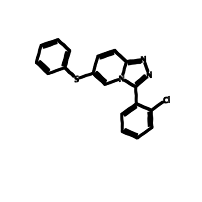 Clc1ccccc1-c1nnc2ccc(Sc3ccccc3)cn12